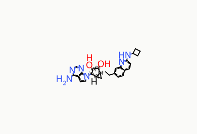 Nc1ncnc2c1ccn2[C@H]1[C@H](O)[C@H](O)[C@@]2(CCc3ccc4ccc(NC5CCC5)nc4c3)C[C@H]12